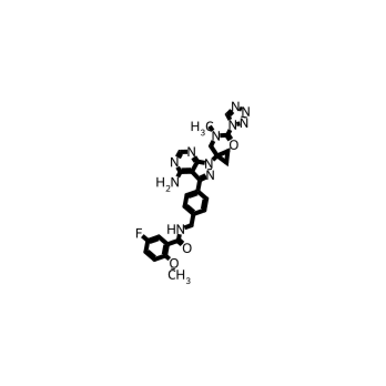 COc1ccc(F)cc1C(=O)NCc1ccc(-c2nn(C3(CN(C)C(=O)n4cnnn4)CC3)c3ncnc(N)c23)cc1